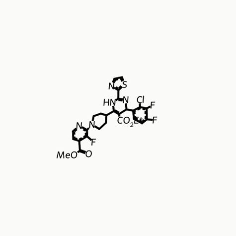 CCOC(=O)C1=C(C2CCN(c3nccc(C(=O)OC)c3F)CC2)NC(c2nccs2)=NC1c1ccc(F)c(F)c1Cl